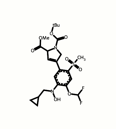 COC(=O)C1C=C(c2cc(N(O)CC3CC3)c(OC(F)F)cc2S(C)(=O)=O)CN1C(=O)OC(C)(C)C